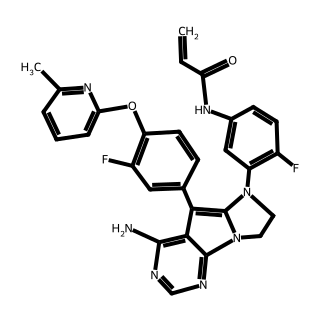 C=CC(=O)Nc1ccc(F)c(N2CCn3c2c(-c2ccc(Oc4cccc(C)n4)c(F)c2)c2c(N)ncnc23)c1